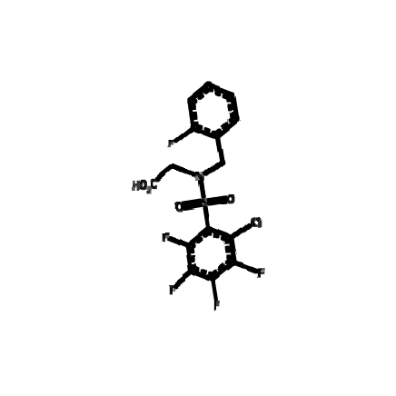 O=C(O)CN(Cc1ccccc1F)S(=O)(=O)c1c(F)c(F)c(F)c(F)c1Cl